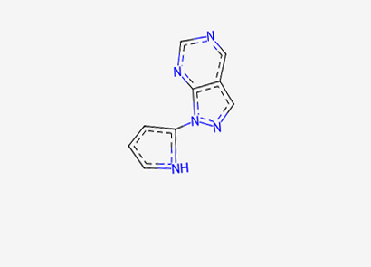 c1c[nH]c(-n2ncc3cncnc32)c1